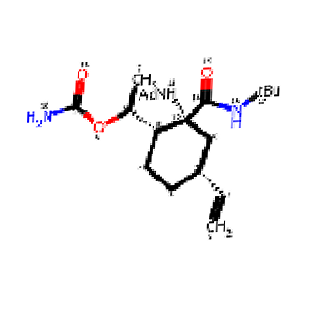 C=C[C@@H]1CC[C@H](C(C)OC(N)=O)[C@@](NC(C)=O)(C(=O)NC(C)(C)C)C1